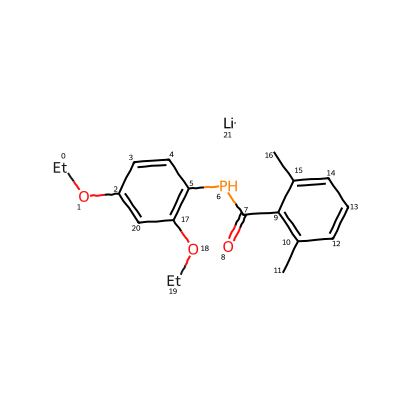 CCOc1ccc(PC(=O)c2c(C)cccc2C)c(OCC)c1.[Li]